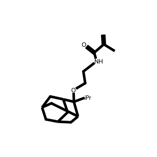 C=C(C)C(=O)NCCOC1(C(C)C)C2CC3CC(C2)CC1C3